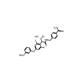 CCOC(C(=O)NCc1ccc(C(=N)N)cc1)c1c(F)cc(Oc2cccc(OC)c2)cc1F.Cl